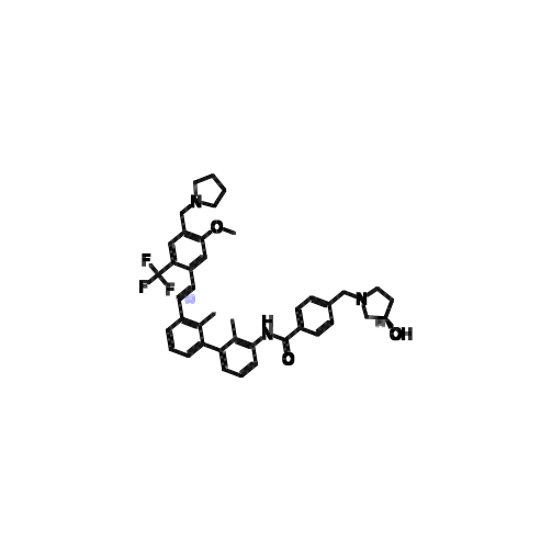 COc1cc(/C=C/c2cccc(-c3cccc(NC(=O)c4ccc(CN5CC[C@@H](O)C5)cc4)c3C)c2C)c(C(F)(F)F)cc1CN1CCCC1